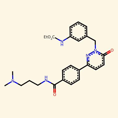 CCOC(=O)Nc1cccc(Cn2nc(-c3ccc(C(=O)NCCCN(C)C)cc3)ccc2=O)c1